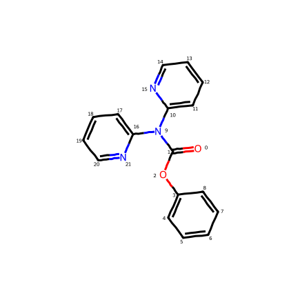 O=C(Oc1ccccc1)N(c1ccccn1)c1ccccn1